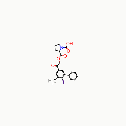 Cc1cc(C(=O)COC(=O)C2CCCN2C(=O)O)cc(-c2ccccc2)c1I